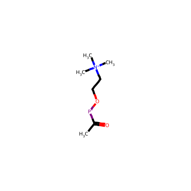 CC(=O)[P-]OCC[N+](C)(C)C